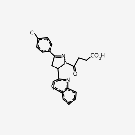 O=C(O)CCC(=O)N1N=C(c2ccc(Cl)cc2)CC1c1cnc2ccccc2n1